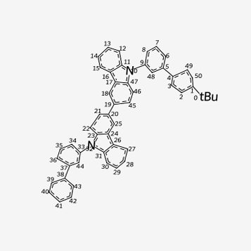 CC(C)(C)c1ccc(-c2cccc(-n3c4ccccc4c4cc(-c5ccc6c(c5)c5ccccc5n6-c5cccc(-c6ccccc6)c5)ccc43)c2)cc1